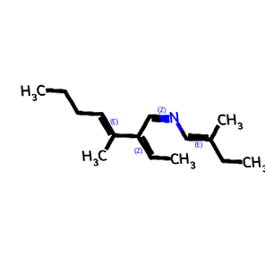 C/C=C(\C=N/C=C(\C)CC)C(/C)=C/CCC